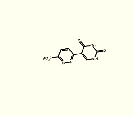 O=C(O)c1ccc(-c2c[nH]c(=O)[nH]c2=O)nn1